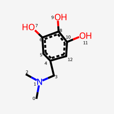 CN(C)Cc1cc(O)c(O)c(O)c1